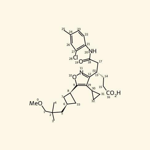 COCC(C)(C)C[C@H]1C[C@@H](c2onc([C@@H](CCC(=O)O)CC(=O)Nc3ccc(C)cc3Cl)c2C2CC2)C1